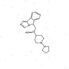 O[C@@H](CC1c2ccccc2-c2cncn21)C1CCN(N2[CH]CCC2)CC1